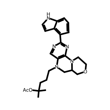 CC(=O)OC(C)(C)CCCN1CC2COCCN2c2nc(-c3cccc4[nH]ccc34)ncc21